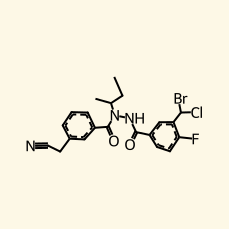 CCC(C)N(NC(=O)c1ccc(F)c(C(Cl)Br)c1)C(=O)c1cccc(CC#N)c1